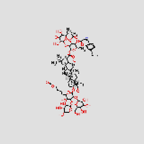 CC(=O)OC1C(OC(=O)/C=C\c2ccc(C)cc2)C(C)OC(OC(=O)[C@@H]2CC(C)(C)C[C@@H]3C2[C@H](O)C[C@]2(C)C3C=C[C@@H]3[C@@]4(C)CC[C@H](OC5OC(CCCCOC=O)C(O)C(OC6OCC(O)C(O)C6O)C5OC5OC(CO)C(O)C(O)C5O)[C@@](C)(C=O)[C@@H]4CC[C@]32C)C1OC1OC(C)C(O)C(O)C1O